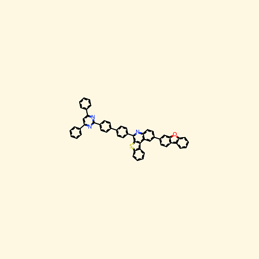 c1ccc(-c2cc(-c3ccccc3)nc(-c3ccc(-c4ccc(-c5nc6ccc(-c7ccc8c(c7)oc7ccccc78)cc6c6c5sc5ccccc56)cc4)cc3)n2)cc1